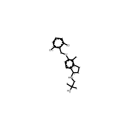 Cc1c(OCc2c(Cl)cccc2Cl)ccc2c1CCC2NCC(C)(C)O